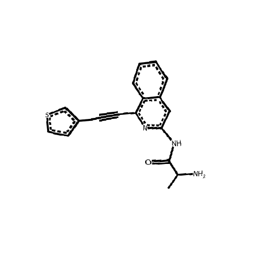 CC(N)C(=O)Nc1cc2ccccc2c(C#Cc2ccsc2)n1